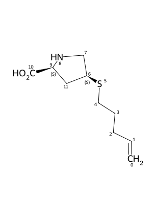 C=CCCCS[C@@H]1CN[C@H](C(=O)O)C1